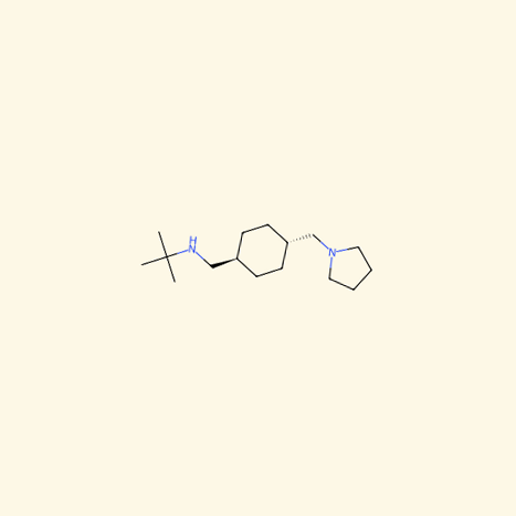 CC(C)(C)NC[C@H]1CC[C@H](CN2CCCC2)CC1